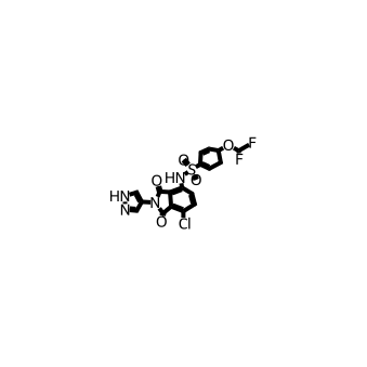 O=C1c2c(Cl)ccc(NS(=O)(=O)C3=CCC(OC(F)F)C=C3)c2C(=O)N1c1cn[nH]c1